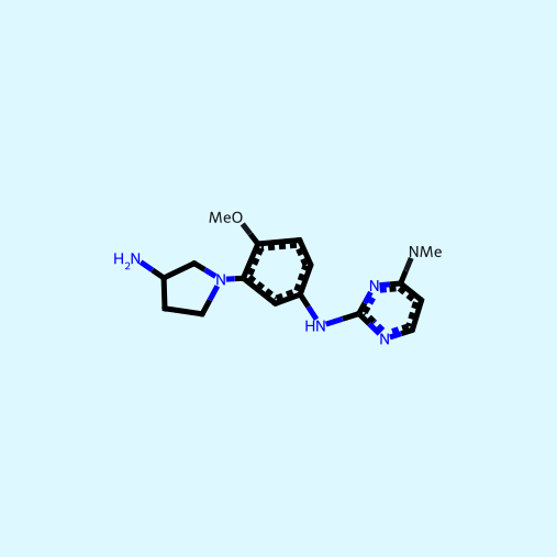 CNc1ccnc(Nc2ccc(OC)c(N3CCC(N)C3)c2)n1